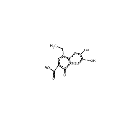 CCn1cc(C(=O)O)c(=O)c2cc(O)c(O)cc21